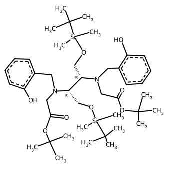 CC(C)(C)OC(=O)CN(Cc1ccccc1O)[C@@H](CO[Si](C)(C)C(C)(C)C)[C@H](CO[Si](C)(C)C(C)(C)C)N(CC(=O)OC(C)(C)C)Cc1ccccc1O